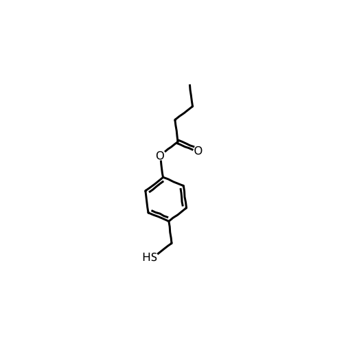 CCCC(=O)Oc1ccc(CS)cc1